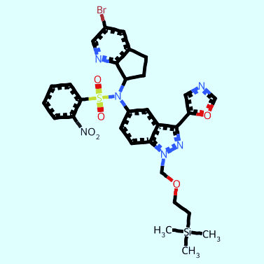 C[Si](C)(C)CCOCn1nc(-c2cnco2)c2cc(N(C3CCc4cc(Br)cnc43)S(=O)(=O)c3ccccc3[N+](=O)[O-])ccc21